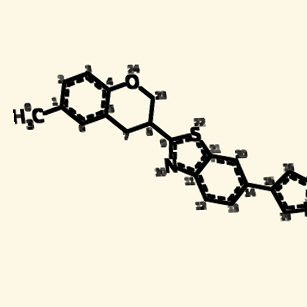 Cc1ccc2c(c1)CC(c1nc3ccc(-c4cn[nH]c4)cc3s1)CO2